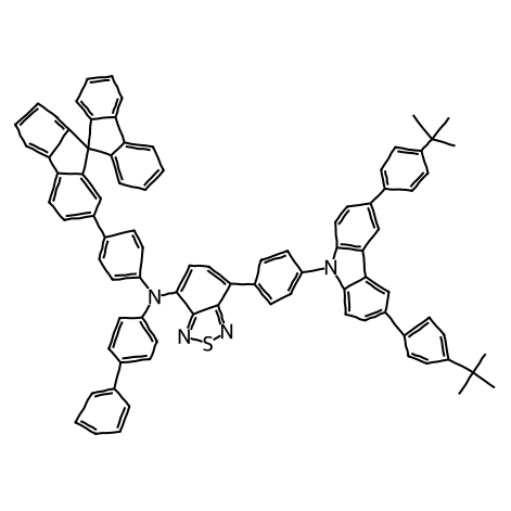 CC(C)(C)c1ccc(-c2ccc3c(c2)c2cc(-c4ccc(C(C)(C)C)cc4)ccc2n3-c2ccc(-c3ccc(N(c4ccc(-c5ccccc5)cc4)c4ccc(-c5ccc6c(c5)C5(c7ccccc7-c7ccccc75)c5ccccc5-6)cc4)c4nsnc34)cc2)cc1